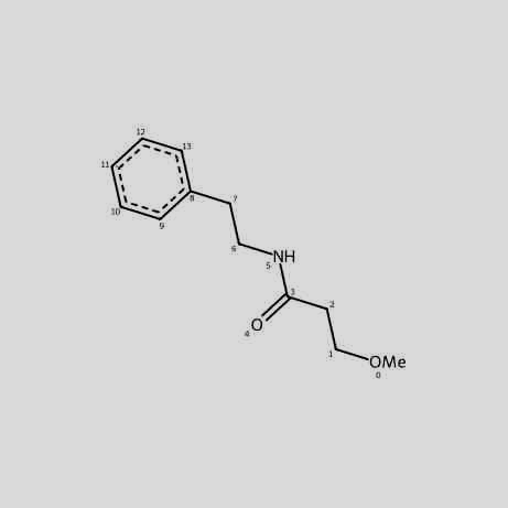 COCCC(=O)NCCc1cc[c]cc1